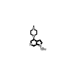 CN1CCN(c2cncc3c2ccn3C(C)(C)C)CC1